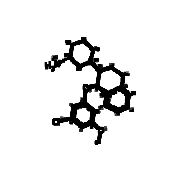 COc1cc(Cl)cc(OC2c3ccccc3CCC2N2CCC[C@@H](N)C2)c1